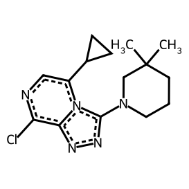 CC1(C)CCCN(c2nnc3c(Cl)ncc(C4CC4)n23)C1